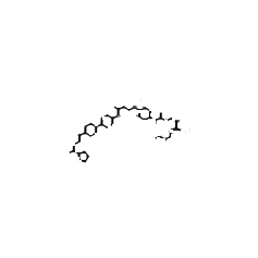 CCCCCC(C)C(CC)CCC(C)C(CC)CCC(C)C(C)C1CCC(C(CC)CCC(C)C(N)C2CCC(C3CCC(C(CC)CCC(C)C4CCCC4)CC3)CC2)CC1